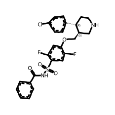 O=C(NS(=O)(=O)c1cc(F)c(OC[C@@H]2CNCC[C@H]2c2ccc(Cl)cc2)cc1F)c1ccccc1